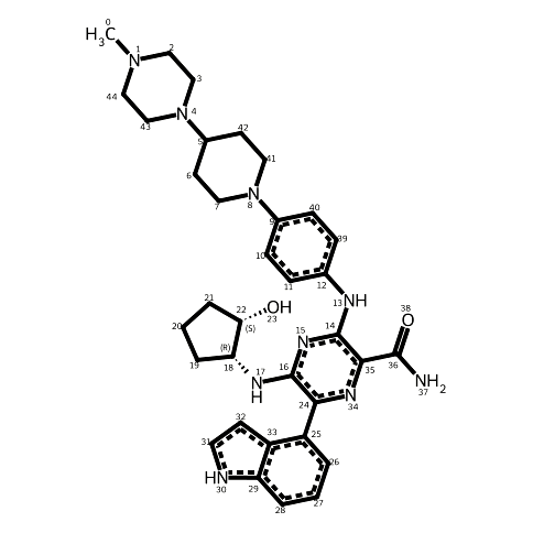 CN1CCN(C2CCN(c3ccc(Nc4nc(N[C@@H]5CCC[C@@H]5O)c(-c5cccc6[nH]ccc56)nc4C(N)=O)cc3)CC2)CC1